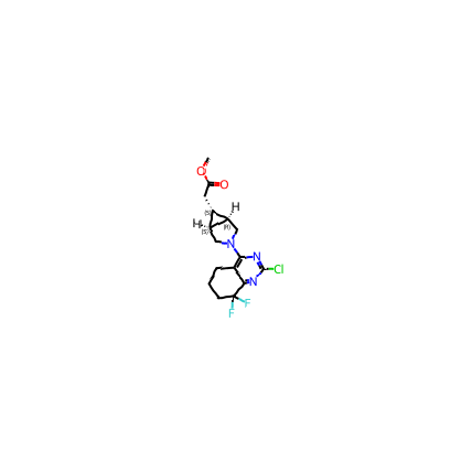 COC(=O)C[C@@H]1[C@H]2CN(c3nc(Cl)nc4c3CCCC4(F)F)C[C@@H]12